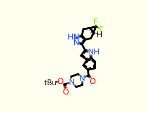 CC(C)(C)OC(=O)N1CCN(C(=O)c2ccc3[nH]c(-c4n[nH]c5c4C[C@@H]4C(F)(F)[C@]4(C)C5)cc3c2)CC1